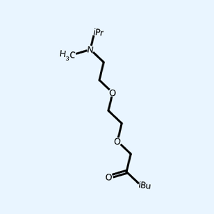 CCC(C)C(=O)COCCOCCN(C)C(C)C